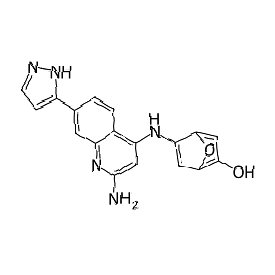 Nc1cc(Nc2cc3oc2cc3O)c2ccc(-c3ccn[nH]3)cc2n1